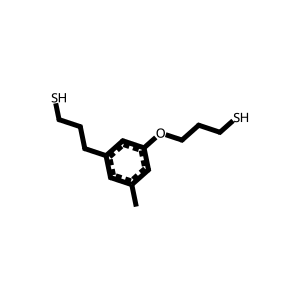 Cc1cc(CCCS)cc(OCCCS)c1